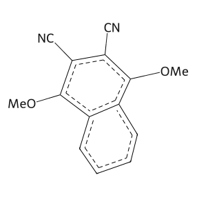 COc1c(C#N)c(C#N)c(OC)c2ccccc12